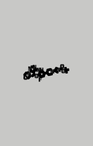 CC1Oc2c(F)cc(C3CCN(C4CN(C(=O)OC(C)(C)C)C4)CC3)cc2Nc2ncnc(N3CCOCC3)c21